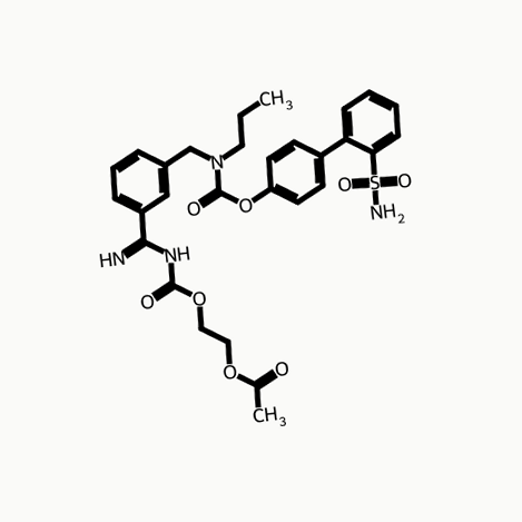 CCCN(Cc1cccc(C(=N)NC(=O)OCCOC(C)=O)c1)C(=O)Oc1ccc(-c2ccccc2S(N)(=O)=O)cc1